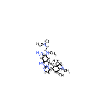 CCN(C)CCN(C)c1cc(OC)c(Nc2nccc(-c3cc(C#N)c4c(c3)c(C)cn4C)n2)cc1N